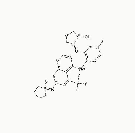 O=S1(=Nc2cc(C(F)(F)F)c3c(Nc4ccc(F)cc4O[C@H]4COC[C@@H]4O)ncnc3c2)CCCC1